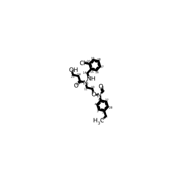 CCc1ccc(N(C=O)OCCN(NCc2ccccc2Cl)C(=O)CCO)cc1